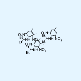 CCC(CC)Nc1c([N+](=O)[O-])cc(C)c(C)c1[N+](=O)[O-].CCC(CC)Nc1c([N+](=O)[O-])cc(C)c(C)c1[N+](=O)[O-].CCC(CC)Nc1c([N+](=O)[O-])cc(C)c(C)c1[N+](=O)[O-]